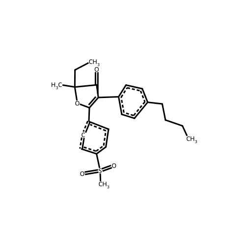 CCCCc1ccc(C2=C(c3ccc(S(C)(=O)=O)cc3)OC(C)(CC)C2=O)cc1